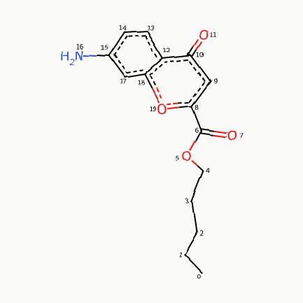 CCCCCOC(=O)c1cc(=O)c2ccc(N)cc2o1